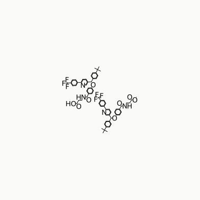 CC(C)(C)c1ccc(C(Oc2ccc(C(=O)NCCC(=O)O)cc2)c2ccc(-c3ccc(C(F)(F)F)cc3)nc2)cc1.COC(=O)CCNC(=O)c1ccc(OC(c2ccc(C(C)(C)C)cc2)c2ccc(-c3ccc(C(F)(F)F)cc3)nc2)cc1